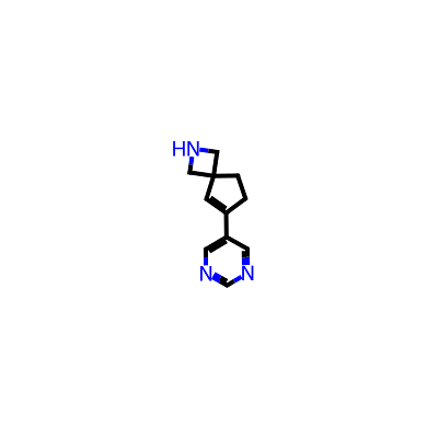 C1=C(c2cncnc2)CCC12CNC2